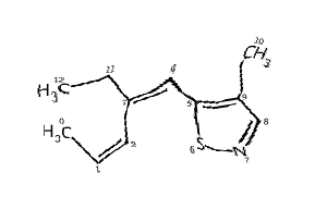 C/C=C\C(=C/c1sncc1C)CC